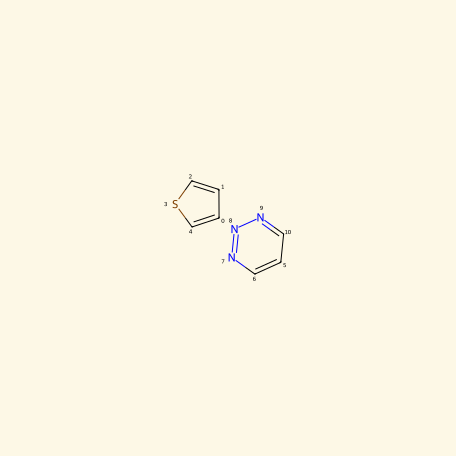 c1ccsc1.c1cnnnc1